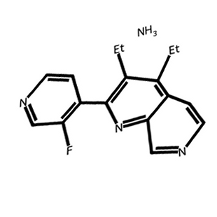 CCc1c(-c2ccncc2F)nc2cnccc2c1CC.N